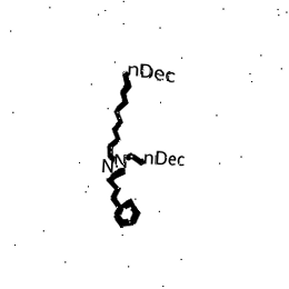 CCCCCCCCCCCCCCCCCCCc1nc(CCCc2ccccc2)cn1CCCCCCCCCCCC